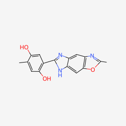 Cc1nc2cc3nc(-c4cc(O)c(C)cc4O)[nH]c3cc2o1